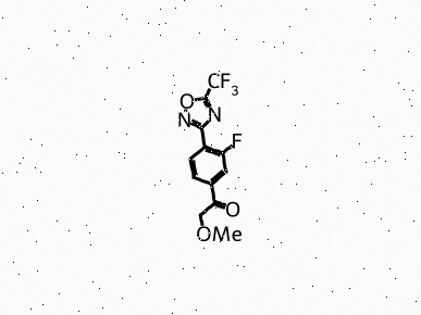 COCC(=O)c1ccc(-c2noc(C(F)(F)F)n2)c(F)c1